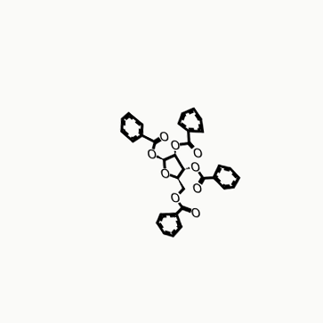 O=C(OC[C@H]1O[C@@H](OC(=O)c2ccccc2)[C@H](OC(=O)c2ccccc2)[C@@H]1OC(=O)c1ccccc1)c1ccccc1